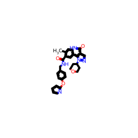 Cc1cc2[nH]c(=O)c3cnn(C4CCOCC4)c3c2cc1C(=O)NCc1ccc(Oc2ccccn2)cc1